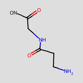 NCCC(=O)NCC(=O)N=O